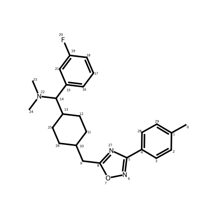 Cc1ccc(-c2noc(CC3CCC(C(c4cccc(F)c4)N(C)C)CC3)n2)cc1